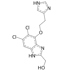 OCc1nc2c(OCCc3c[nH]cn3)c(Cl)c(Cl)cc2[nH]1